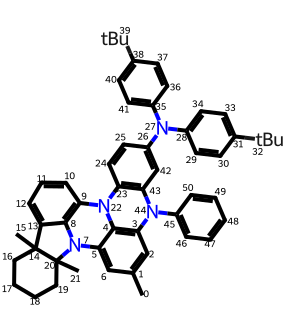 Cc1cc2c3c(c1)N1c4c(cccc4C4(C)CCCCC14C)N3c1ccc(N(c3ccc(C(C)(C)C)cc3)c3ccc(C(C)(C)C)cc3)cc1N2c1ccccc1